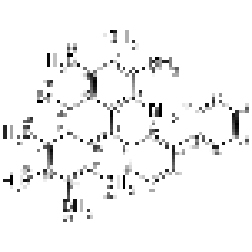 Bc1c(B)c(B)c2c(-c3cccc(-c4ccccc4)c3)c3c(B)c(B)c(B)c(B)c3c(Br)c2c1B